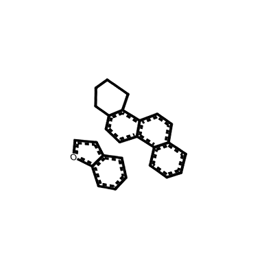 c1ccc2c(c1)ccc1c3c(ccc12)CCCC3.c1ccc2occc2c1